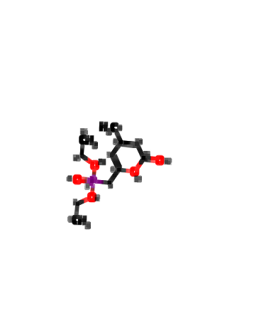 CCOP(=O)(Cc1cc(C)cc(=O)o1)OCC